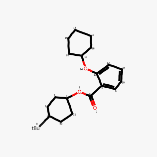 CC(C)(C)C1CCC(OC(=O)c2ccccc2OC2CCCCC2)CC1